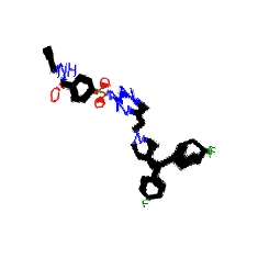 C#CCNC(=O)c1ccc(S(=O)(=O)n2ncc(CCN3CCC(=C(c4ccc(F)cc4)c4ccc(F)cc4)CC3)n2)cc1